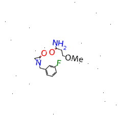 COCCC(N)=O.O=C1CN1Cc1cccc(F)c1